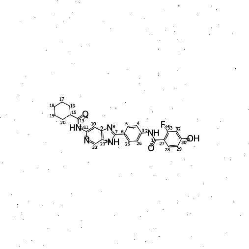 O=C(Nc1ccc(-c2nc3cc(NC(=O)C4CCCCC4)ncc3[nH]2)cc1)c1ccc(O)cc1F